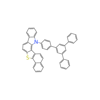 c1ccc(-c2cc(-c3ccccc3)cc(-c3ccc(-n4c5ccccc5c5ccc6sc7c8ccccc8ccc7c6c54)cc3)c2)cc1